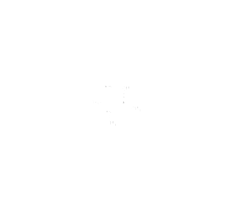 C[As](C)[As](C)C.[KH]